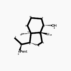 CCCCC[C@@H](C)[C@H]1CC[C@H]2[C@@H](O)CCC[C@]12C